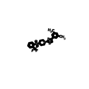 Cc1cc(C)cc(-c2csc(N3CCC(S(=O)(=O)c4ccccc4C(F)(F)F)CC3)n2)c1